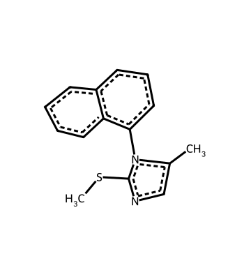 CSc1ncc(C)n1-c1cccc2ccccc12